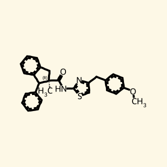 COc1ccc(Cc2csc(NC(=O)[C@]3(C)Cc4ccccc4C3c3ccccc3)n2)cc1